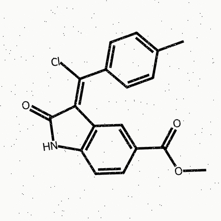 COC(=O)c1ccc2c(c1)/C(=C(/Cl)c1ccc(C)cc1)C(=O)N2